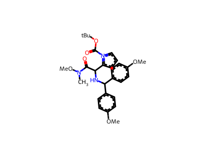 COc1ccc(C(NC(C(=O)N(C)OC)c2cccn2C(=O)OC(C)(C)C)c2ccc(OC)cc2)cc1